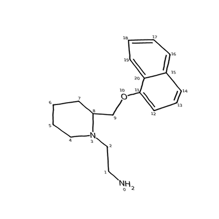 NCCN1CCCCC1COc1cccc2ccccc12